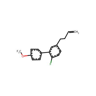 C=CCCc1c[c]c(F)c(-c2ccc(OC(F)(F)F)cc2)c1